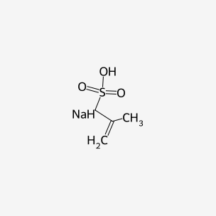 C=C(C)CS(=O)(=O)O.[NaH]